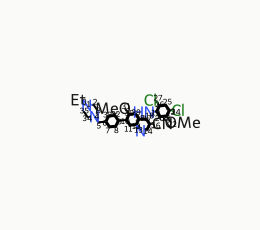 CCN1CCN(Cc2ccc(-c3cc4ncc(C#N)c(Nc5cc(OC)c(Cl)cc5Cl)c4cc3OC)cc2)CC1